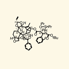 C=C[C@@H]1O[C@@H]2C3=C(C)[C@@H](OC(=O)[C@H](O[Si](C(C)C)(C(C)C)C(C)C)[C@@H](NC(=O)OC(C)(C)C)c4ccccc4F)C[C@@](O)([C@@H](OC(=O)c4ccccc4)[C@H]4[C@@](C)(CC[C@H]5OC[C@]54OC(C)=O)[C@@H]2O1)C3(C)C